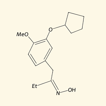 CC/C(Cc1ccc(OC)c(OC2CCCC2)c1)=N/O